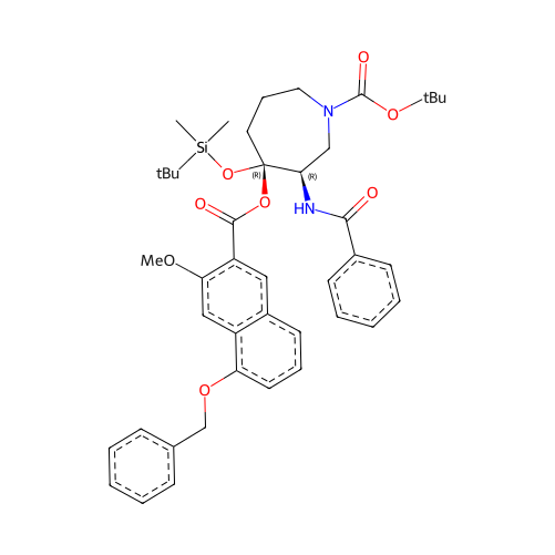 COc1cc2c(OCc3ccccc3)cccc2cc1C(=O)O[C@@]1(O[Si](C)(C)C(C)(C)C)CCCN(C(=O)OC(C)(C)C)C[C@H]1NC(=O)c1ccccc1